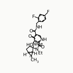 CCN(C(=O)c1[nH]cc(C(=O)NCc2ccc(F)cc2F)c(=O)c1O)C1(NC)CC[C@@H]2[C@H](C)[C@@H]21